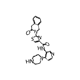 O=C(Nc1cnccc1N1CCNCC1)c1csc(N2Cc3ccccc3CC2=O)n1